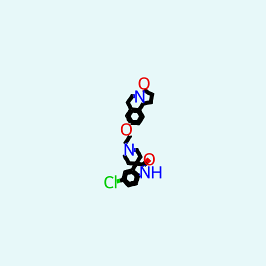 O=C1CCC2c3ccc(OCCN4CCC5(CC4)C(=O)Nc4ccc(Cl)cc45)cc3CCN12